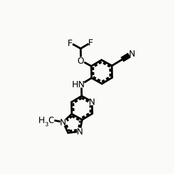 Cn1cnc2cnc(Nc3ccc(C#N)cc3OC(F)F)cc21